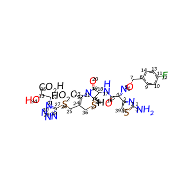 Nc1nc(C(=NOCc2ccc(F)cc2)C(=O)NC2C(=O)N3C(C(=O)O)=C(CSc4nnnn4CC(O)C(=O)O)CS[C@@H]23)cs1